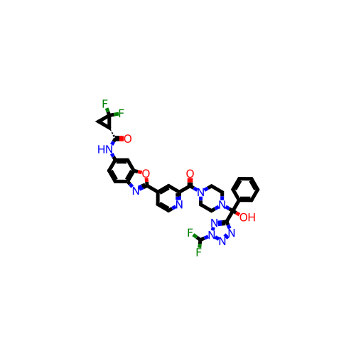 O=C(Nc1ccc2nc(-c3ccnc(C(=O)N4CCN(C(O)(c5ccccc5)c5nnn(C(F)F)n5)CC4)c3)oc2c1)[C@@H]1CC1(F)F